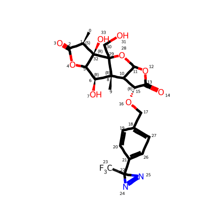 C[C@@H]1C(=O)OC2[C@H](O)[C@@]3(C)C4C(OC(=O)[C@@H]4OCc4ccc(C5(C(F)(F)F)N=N5)cc4)OC3(CO)[C@]21O